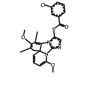 COC1=CC=CC23CC(C)=C(OC)C(C)=C2n2c(SC(=O)c4cccc(Cl)c4)cnc2N13